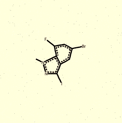 Cn1nc(I)c2cc(Br)cc(F)c21